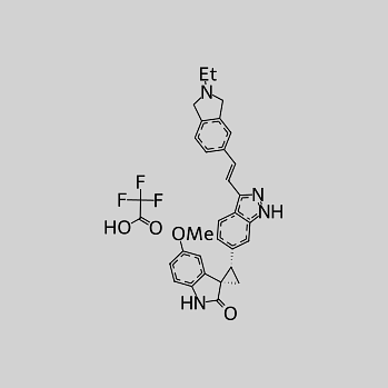 CCN1Cc2ccc(C=Cc3n[nH]c4cc([C@@H]5C[C@@]56C(=O)Nc5ccc(OC)cc56)ccc34)cc2C1.O=C(O)C(F)(F)F